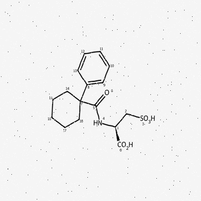 O=C(O)[C@H](CS(=O)(=O)O)NC(=O)C1(c2ccccc2)CCCCC1